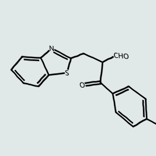 O=CC(Cc1nc2ccccc2s1)C(=O)c1ccc(Cl)cc1